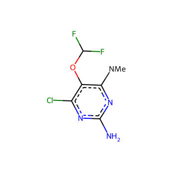 CNc1nc(N)nc(Cl)c1OC(F)F